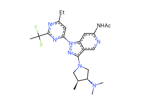 CCc1cc(-n2nc(N3C[C@@H](N(C)C)[C@@H](C)C3)c3cnc(NC(C)=O)cc32)nc(C(C)(F)F)n1